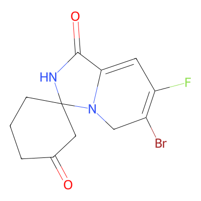 O=C1CCCC2(C1)NC(=O)C1=CC(F)=C(Br)CN12